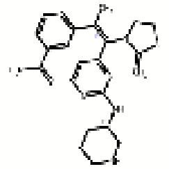 C=C1SCCN1/C(=C(\C)c1cccc(C(N)=O)c1)c1ccnc(N[C@@H]2CCCNC2)n1